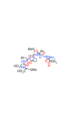 CSCC[C@H](NC(=O)[C@H](CC(=O)O)NC(=O)[C@H](CC(C)C)NC(=O)[C@@H]1CCCN1C(=O)[C@H](CCSC)NC(=O)[C@@H](NC(=O)CNC(=O)[C@@H](N)[C@@H](C)O)C(C)C)C(=O)O